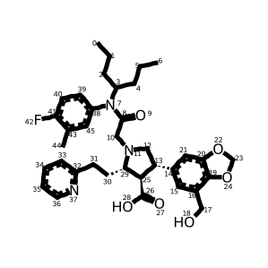 CCCC(CCC)N(C(=O)CN1C[C@H](c2cc(CO)c3c(c2)OCO3)[C@@H](C(=O)O)[C@@H]1CCc1ccccn1)c1ccc(F)c(C)c1